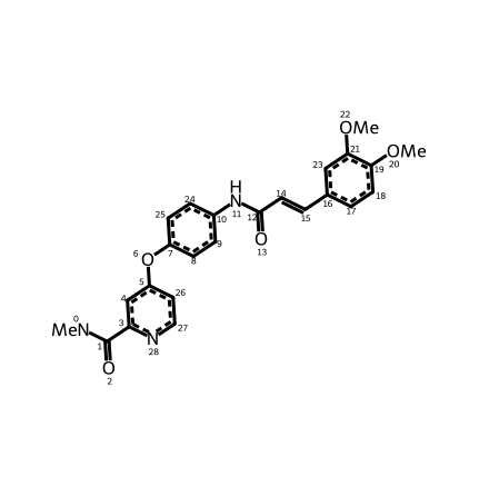 CNC(=O)c1cc(Oc2ccc(NC(=O)/C=C/c3ccc(OC)c(OC)c3)cc2)ccn1